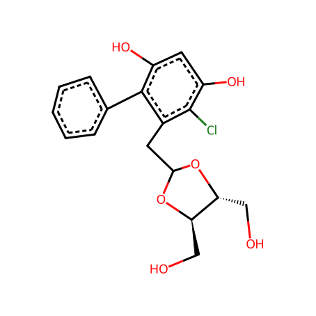 OC[C@H]1OC(Cc2c(Cl)c(O)cc(O)c2-c2ccccc2)O[C@@H]1CO